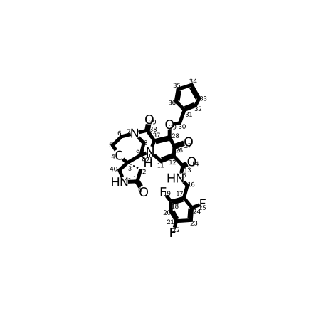 O=C1C[C@@]2(CCCN3C[C@H]2n2cc(C(=O)NCc4c(F)cc(F)cc4F)c(=O)c(OCc4ccccc4)c2C3=O)CN1